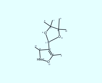 CC1=C(B2OC(C)(C)C(C)(C)O2)C(C)NO1